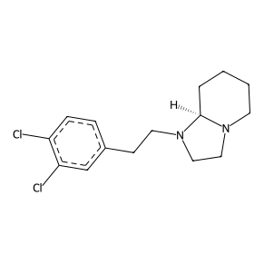 Clc1ccc(CCN2CCN3CCCC[C@@H]32)cc1Cl